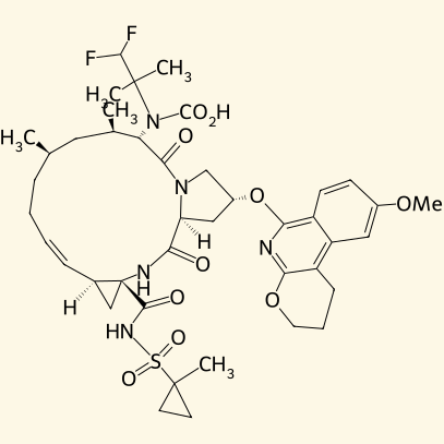 COc1ccc2c(O[C@@H]3C[C@H]4C(=O)N[C@]5(C(=O)NS(=O)(=O)C6(C)CC6)C[C@H]5/C=C\CC[C@@H](C)C[C@@H](C)[C@H](N(C(=O)O)C(C)(C)C(F)F)C(=O)N4C3)nc3c(c2c1)CCCO3